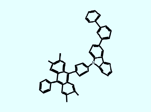 Cc1cc2c(-c3ccccc3)c3cc(C)c(C)cc3c(-c3ccc(-n4c5ccccc5c5cc(-c6cccc(-c7ccccc7)c6)ccc54)cc3)c2cc1C